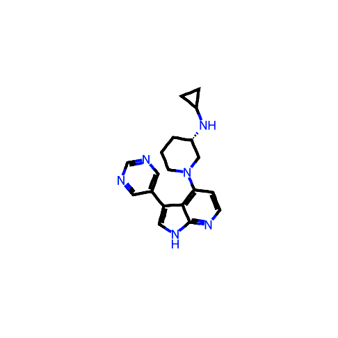 c1ncc(-c2c[nH]c3nccc(N4CCC[C@H](NC5CC5)C4)c23)cn1